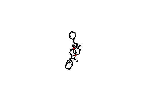 O=C(O)c1ccc(N2CC3CCC(C2)N3CC(=O)N2CCc3nn(-c4ccccc4)cc3C2)nc1